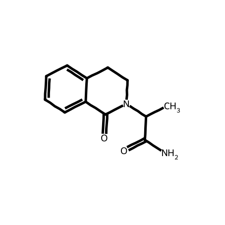 CC(C(N)=O)N1CCc2ccccc2C1=O